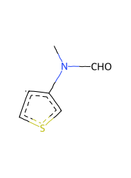 CN(C=O)c1[c]csc1